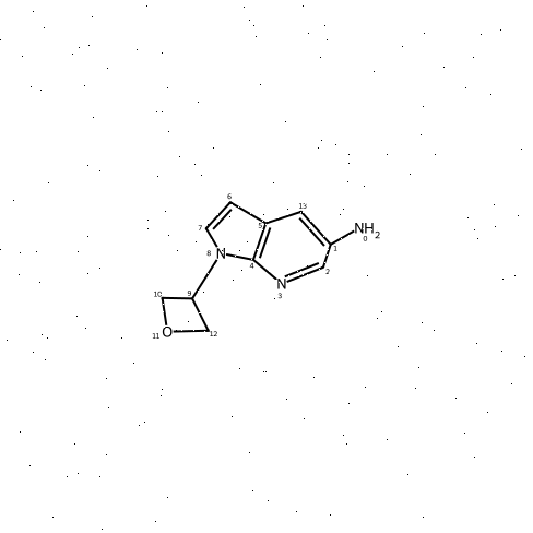 Nc1cnc2c(ccn2C2COC2)c1